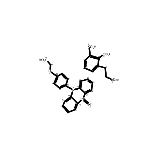 CCCCCCCCCCCCc1cccc(S(=O)(=O)O)c1C=O.[N-]=[N+]1c2ccccc2N(c2ccc(OCC(=O)O)cc2)c2ccccc21